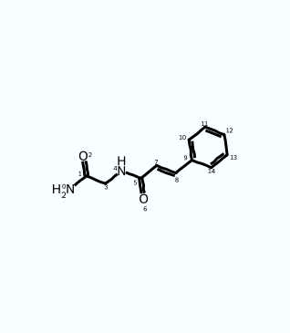 NC(=O)CNC(=O)C=Cc1ccccc1